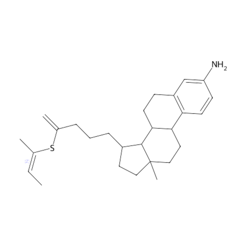 C=C(CCCC1CCC2(C)CCC3c4ccc(N)cc4CCC3C12)S/C(C)=C\C